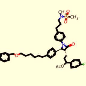 CC(=O)OC(CC[C@H]1C(=O)N(c2ccc(CCCN(C)S(C)(=O)=O)cc2)[C@@H]1c1ccc(CCCCCCOCc2ccccc2)cc1)c1ccc(F)cc1